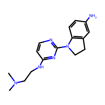 CN(C)CCNc1ccnc(N2CCc3cc(N)ccc32)n1